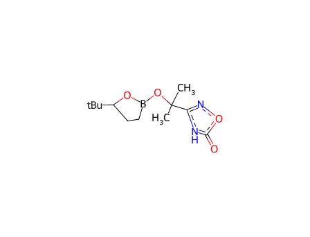 CC(C)(OB1CCC(C(C)(C)C)O1)c1noc(=O)[nH]1